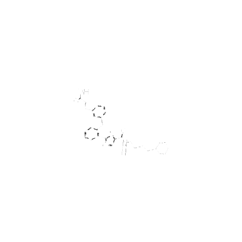 O=C(O)CCc1cccc(Cc2ccccc2-c2nc(C(=O)NCCCCC3CCCCC3)co2)c1